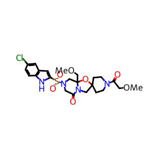 COCC(=O)N1CCC2(CC1)CN1C(=O)CN(S(=O)(=O)c3cc4cc(Cl)ccc4[nH]3)CC1(COC)O2